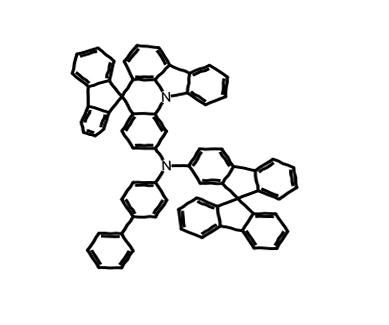 c1ccc(-c2ccc(N(c3ccc4c(c3)-n3c5ccccc5c5cccc(c53)C43c4ccccc4-c4ccccc43)c3ccc4c(c3)C3(c5ccccc5-c5ccccc53)c3ccccc3-4)cc2)cc1